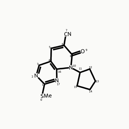 CSc1ncc2cc(C#N)c(=O)n(C3CCCC3)c2n1